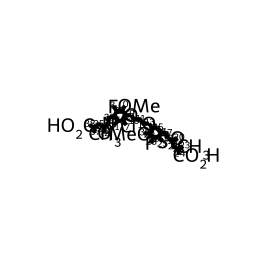 COc1c(F)c2c(c(Cl)c1OCCCOc1cc3cc(C(=O)CC(C)C(=O)O)sc3c(F)c1OC)CN(C(=O)CC(C)C(=O)O)C2